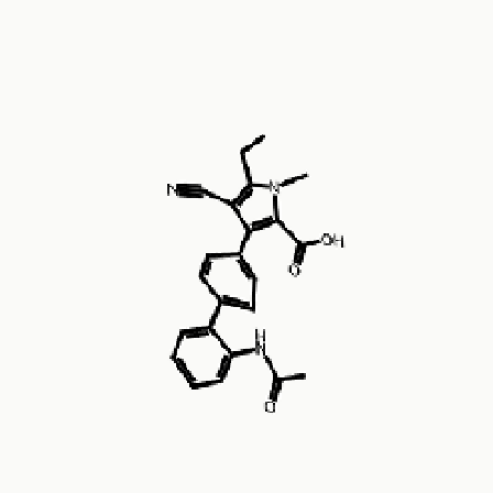 CCc1c(C#N)c(-c2ccc(-c3ccccc3NC(C)=O)cc2)c(C(=O)O)n1C